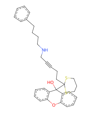 OC1(C2(CCC#CCNCCCCc3ccccc3)SCCCS2)c2ccccc2Oc2ccccc21